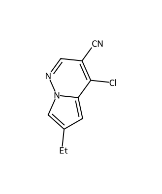 CCc1cc2c(Cl)c(C#N)cnn2c1